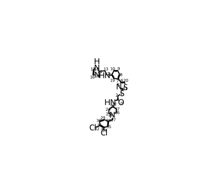 O=C(CSc1nc(-c2cccc(NCc3ncc[nH]3)c2)cs1)NC1CCN(Cc2ccc(Cl)c(Cl)c2)CC1